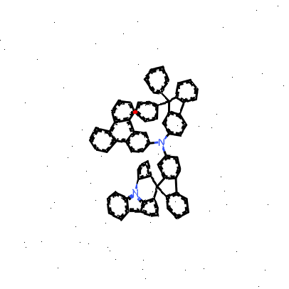 c1ccc(C2(c3ccccc3)c3ccccc3-c3ccc(N(c4ccc5c(c4)C4(c6ccccc6-5)c5ccccc5-n5c6ccccc6c6cccc4c65)c4ccc5c6ccccc6c6ccccc6c5c4)cc32)cc1